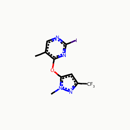 Cc1cnc(I)nc1Oc1cc(C(F)(F)F)nn1C